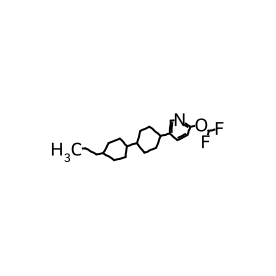 CCCC1CCC(C2CCC(c3ccc(OC(F)F)nc3)CC2)CC1